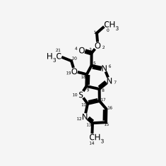 CCOC(=O)c1nnc2c(sc3nc(C)ccc32)c1OCC